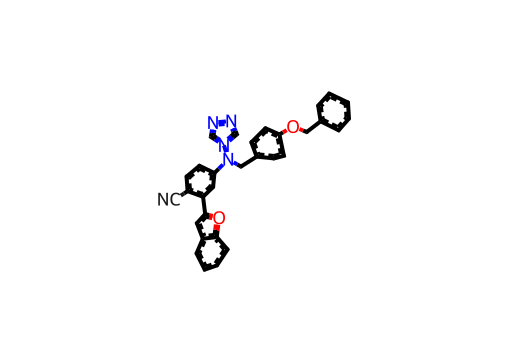 N#Cc1ccc(N(Cc2ccc(OCc3ccccc3)cc2)n2cnnc2)cc1-c1cc2ccccc2o1